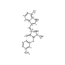 Cc1cccc(CN2C(=O)[C@@H](Cc3c[nH]c4c(Cl)cccc34)NC2O)c1